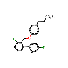 CCOC(=O)CCc1ccc(OCc2c(F)cccc2-c2ccc(F)cc2)cc1